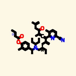 C=C(C)CC(=O)C(C)=C=C(C(=C)C[C@@H](CC)CN(C(CC)CC)C(C)c1ccc(OC(=O)/C=C/C)c(C)c1)c1nc(C#N)ccc1C